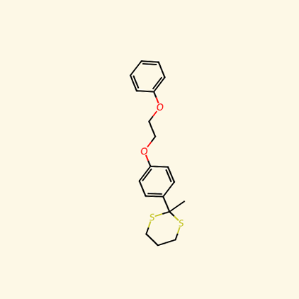 CC1(c2ccc(OCCOc3ccccc3)cc2)SCCCS1